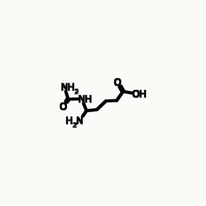 NC(=O)NC(N)CCCC(=O)O